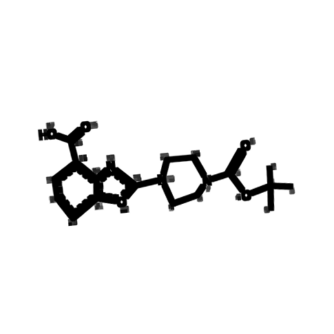 CC(C)(C)OC(=O)N1CCN(c2nc3c(C(=O)O)cccc3o2)CC1